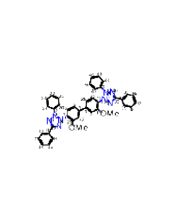 COc1cc(-c2ccc(-[n+]3nc(-c4ccccc4)nn3-c3ccccc3)c(OC)c2)ccc1-[n+]1nc(-c2ccccc2)nn1-c1ccccc1